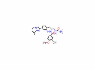 Cc1cccn2cc(-c3ccc(CC(CNC(=O)CN(C)C)NC(=O)c4ccc(OC(C)C)c(C#N)c4)cc3)nc12